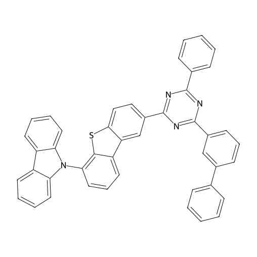 c1ccc(-c2cccc(-c3nc(-c4ccccc4)nc(-c4ccc5sc6c(-n7c8ccccc8c8ccccc87)cccc6c5c4)n3)c2)cc1